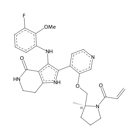 C=CC(=O)N1CCC[C@@]1(C)COc1cnccc1-c1[nH]c2c(c1Nc1cccc(F)c1OC)C(=O)NCC2